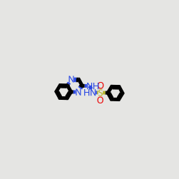 O=S(=O)(NNc1cnc2ccccc2n1)c1ccccc1